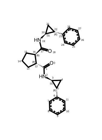 O=C(N[C@H]1C[C@@H]1c1ccccc1)[C@@H]1CCC[C@H]1C(=O)N[C@H]1C[C@@H]1c1ccccc1